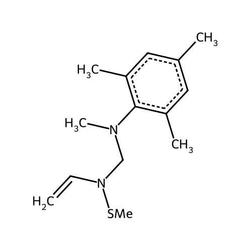 C=CN(CN(C)c1c(C)cc(C)cc1C)SC